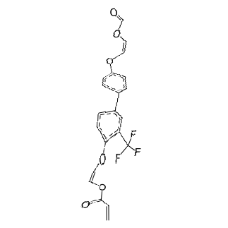 C=CC(=O)O/C=C\Oc1ccc(-c2ccc(O/C=C\OC=O)cc2)cc1C(F)(F)F